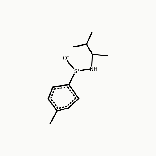 Cc1ccc([S+]([O-])NC(C)C(C)C)cc1